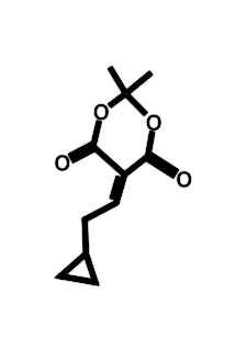 CC1(C)OC(=O)C(=CCC2CC2)C(=O)O1